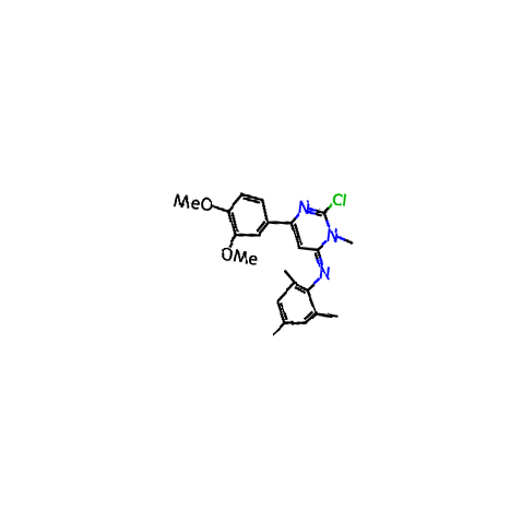 COc1ccc(-c2cc(=Nc3c(C)cc(C)cc3C)n(C)c(Cl)n2)cc1OC